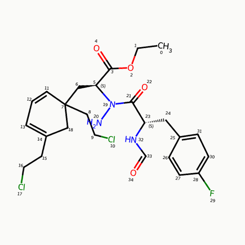 CCOC(=O)[C@H](CC1(CCCl)C=CC=C(CCCl)C1)N(N)C(=O)[C@H](Cc1ccc(F)cc1)NC=O